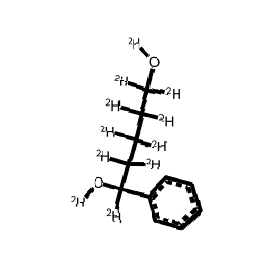 [2H]OC([2H])([2H])C([2H])([2H])C([2H])([2H])C([2H])([2H])C([2H])(O[2H])c1ccccc1